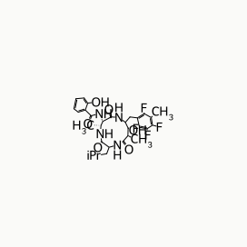 Cc1c(F)c(F)c(F)c(CC2NC(=O)[C@@H](NC(=O)c3ccccc3O)[C@@H](C)NC(=O)C(CC(C)C)NC(=O)[C@H](C)[C@@H]2O)c1F